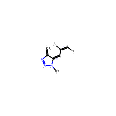 C=c1nnn(CCC)/c1=C/C(C#N)=C\C